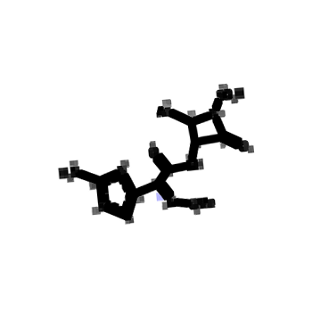 CO/N=C(\C(=O)NC1C(=O)N(S(=O)(=O)O)C1C(C)=O)c1csc(N)n1